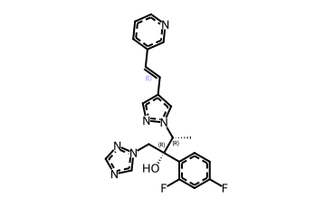 C[C@@H](n1cc(/C=C/c2cccnc2)cn1)[C@](O)(Cn1cncn1)c1ccc(F)cc1F